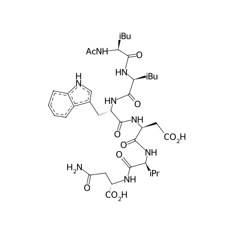 CCC(C)[C@H](NC(C)=O)C(=O)N[C@H](C(=O)N[C@@H](Cc1c[nH]c2ccccc12)C(=O)N[C@@H](CC(=O)O)C(=O)N[C@H](C(=O)N[C@@H](CC(N)=O)C(=O)O)C(C)C)C(C)CC